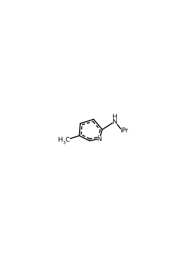 Cc1ccc(NC(C)C)nc1